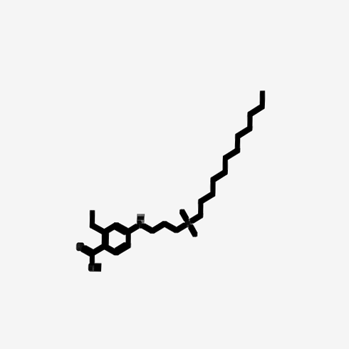 CCCCCCCCCCCC[Si](C)(C)CCCNc1ccc(C(=O)O)c(CC)c1